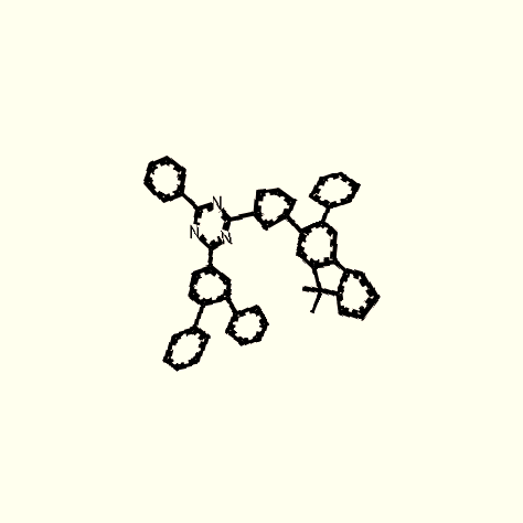 CC1(C)c2ccccc2-c2cc(-c3ccccc3)c(-c3cccc(-c4nc(-c5ccccc5)nc(-c5ccc(-c6ccccc6)c(-c6ccccc6)c5)n4)c3)cc21